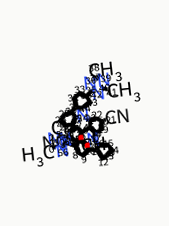 Cc1nc(C)nc(-c2ccc3c4ccccc4n(-c4cc(C#N)cc(-n5c6ccccc6c6ccc(-c7nc(C)nc(C)n7)cc65)c4-c4ccc(C#N)cc4C)c3c2)n1